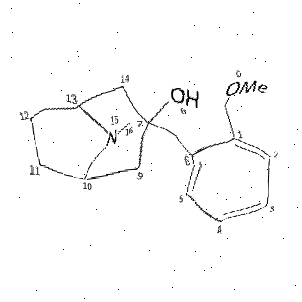 COc1ccccc1C1(O)CC2CCC(C1)N2C